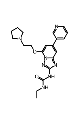 CCNC(=O)Nc1nc2cc(-c3cccnc3)cc(OCCN3CCCC3)n2n1